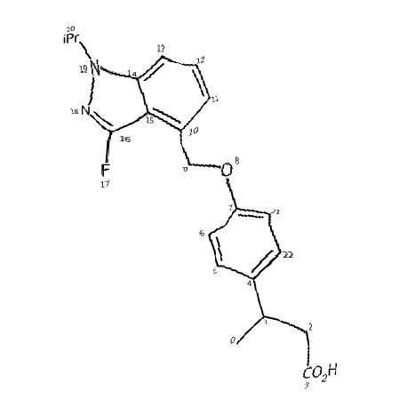 CC(CC(=O)O)c1ccc(OCc2cccc3c2c(F)nn3C(C)C)cc1